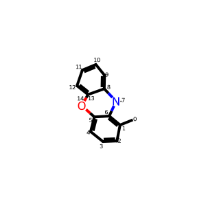 Cc1cccc2c1[N]c1ccccc1O2